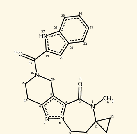 CN1C(=O)c2c3c(nn2CCC12CC2)CCN(C(=O)c1cc2ccccc2[nH]1)C3